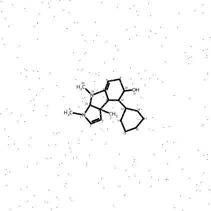 CN1C=CC2(C)C3C(=CCC(O)C3C3CCCCC3)N(C)C12